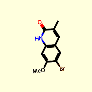 COc1cc2[nH]c(=O)c(C)cc2cc1Br